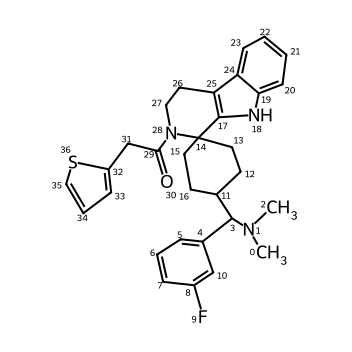 CN(C)C(c1cccc(F)c1)C1CCC2(CC1)c1[nH]c3ccccc3c1CCN2C(=O)Cc1cccs1